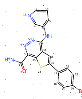 NC(=O)c1nnc(Nc2cccnc2)c2cc(-c3ccc(Br)cc3)sc12